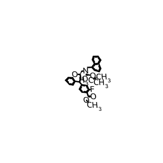 COC(=O)c1ccc(C2C[C@H](CN(Cc3cccc4ccccc34)C(=O)OC(C)(C)C)Oc3ccccc32)cc1F